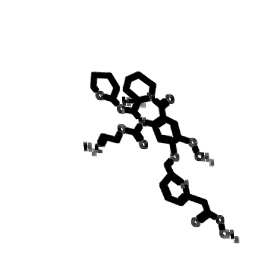 C=CCOC(=O)N1c2cc(OCc3cccc(CC(=O)OC)n3)c(OC)cc2C(=O)N2CCCC[C@H]2C1OC1CCCCO1